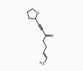 C/C=C/CCC(=O)C#CC1OCCO1